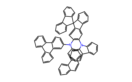 c1ccc2c(c1)-c1ccccc1C21c2ccccc2-c2cc(-n3c4ccccc4c4ccccc43)c(N(c3ccc4ccc5ccccc5c4c3)c3ccc4c5ccccc5c5ccccc5c4c3)cc21